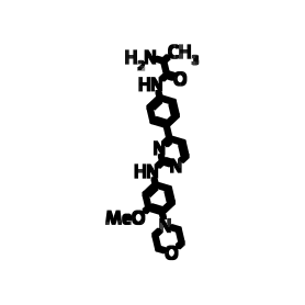 COc1cc(Nc2nccc(-c3ccc(NC(=O)C(C)N)cc3)n2)ccc1N1CCOCC1